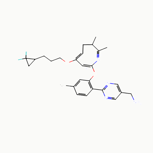 C/C1=N/C(Oc2cc(C#N)ccc2-c2ncc(CN)cn2)=C\C(OCCCC2CC2(F)F)=C\CC1C